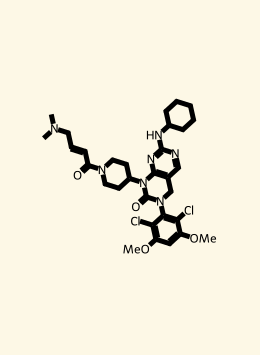 COc1cc(OC)c(Cl)c(N2Cc3cnc(NC4CCCCC4)nc3N(C3CCN(C(=O)C=CCN(C)C)CC3)C2=O)c1Cl